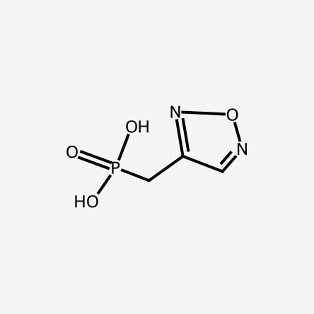 O=P(O)(O)Cc1cnon1